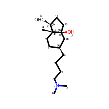 CN(C)CCCC[C@H]1CC[C@]2(C)[C@@H](C=O)CC[C@]2(O)C1